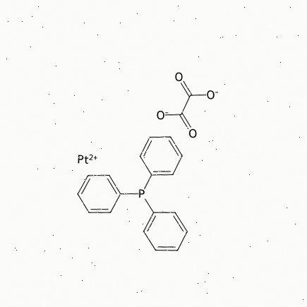 O=C([O-])C(=O)[O-].[Pt+2].c1ccc(P(c2ccccc2)c2ccccc2)cc1